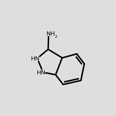 NC1NNC2C=CC=[C]C12